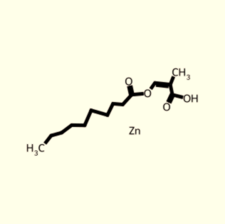 CCCCCCCCCC(=O)OC=C(C)C(=O)O.[Zn]